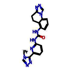 CC(C)n1cnnc1-c1cccc(NC(=O)Nc2cccc3c2CCc2nncn2-3)n1